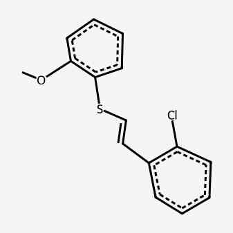 COc1ccccc1S/C=C/c1ccccc1Cl